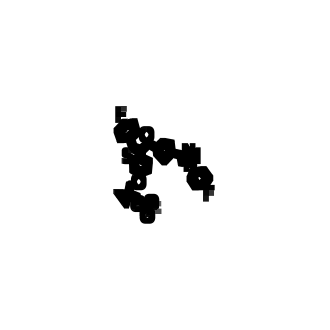 O=C(c1ccc(-c2cn(-c3ccc(F)cc3)nn2)cc1)c1c(-c2ccc(F)cc2)sc2cc(OCC3(CO[N+](=O)[O-])CC3)ccc12